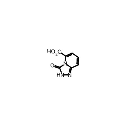 O=C(O)c1cccc2n[nH]c(=O)n12